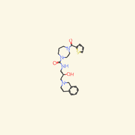 O=C(NCC(O)CN1CCc2ccccc2C1)N1CCCN(C(=O)c2cccs2)CC1